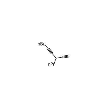 [C]#CC(C#CCCCC)CCC